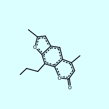 CCCc1c2oc(C)cc2cc2c(C)cc(=O)oc12